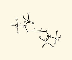 C[Si](C)(C)N(CC#CCN([Si](C)(C)C)[Si](C)(C)C)[Si](C)(C)C